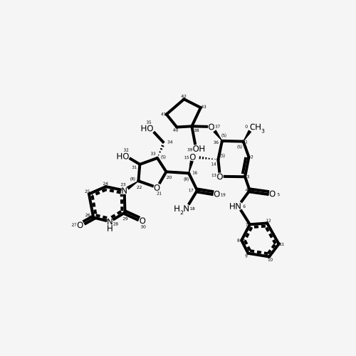 C[C@H]1C=C(C(=O)Nc2ccccc2)O[C@H](O[C@@H](C(N)=O)C2O[C@@H](n3ccc(=O)[nH]c3=O)C(O)[C@@H]2CO)[C@H]1OC1(O)CCCC1